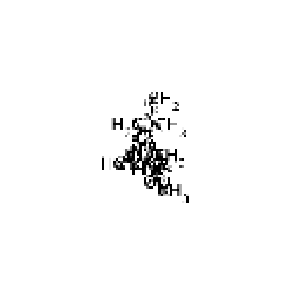 C=CCCC(C)C[C@@H](C)CC(=O)N1C[C@H](O)C[C@H]1C(=O)N[C@]1(C(=O)OC)C[C@H]1C